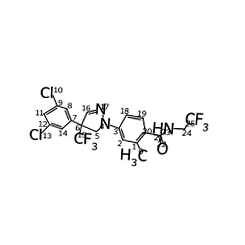 Cc1cc(N2CC(c3cc(Cl)cc(Cl)c3)(C(F)(F)F)C=N2)ccc1C(=O)NCC(F)(F)F